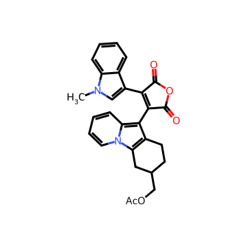 CC(=O)OCC1CCc2c(C3=C(c4cn(C)c5ccccc45)C(=O)OC3=O)c3ccccn3c2C1